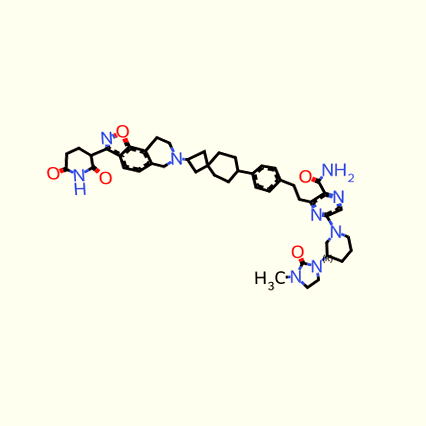 CN1CCN([C@@H]2CCCN(c3cnc(C(N)=O)c(CCc4ccc(C5CCC6(CC5)CC(N5CCc7c(ccc8c(C9CCC(=O)NC9=O)noc78)C5)C6)cc4)n3)C2)C1=O